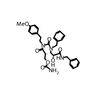 COc1ccc(CCN(C(=O)[CH]COC(N)=O)C(=O)N(Cc2ccccc2)C[C@H](O)C(=O)NCc2ccccc2)cc1